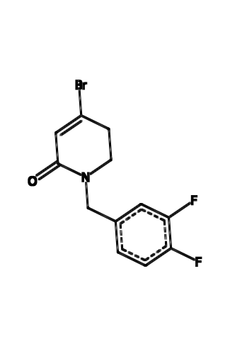 O=C1C=C(Br)CCN1Cc1ccc(F)c(F)c1